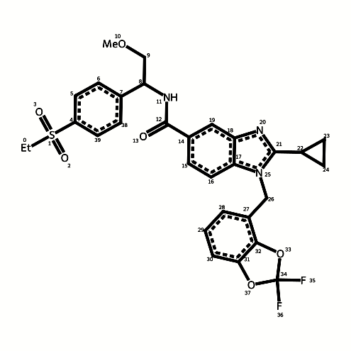 CCS(=O)(=O)c1ccc(C(COC)NC(=O)c2ccc3c(c2)nc(C2CC2)n3Cc2cccc3c2OC(F)(F)O3)cc1